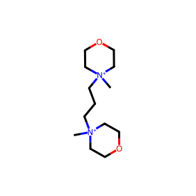 C[N+]1(CCC[N+]2(C)CCOCC2)CCOCC1